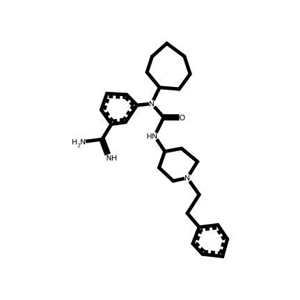 N=C(N)c1cccc(N(C(=O)NC2CCN(CCc3ccccc3)CC2)C2CCCCCC2)c1